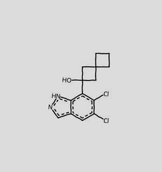 OC1(c2c(Cl)c(Cl)cc3cn[nH]c23)CC2(CCC2)C1